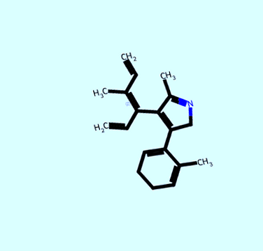 C=C/C(C)=C(/C=C)C1=C(C2=CCCC=C2C)CN=C1C